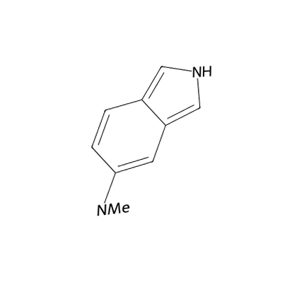 CNc1ccc2c[nH]cc2c1